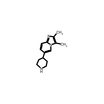 Cc1nc2ccc(C3CCNCC3)cn2c1C